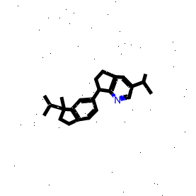 CC(C)c1cnc2c(c1)CCC2c1ccc2c(c1)C(C)(C(C)C)CC2